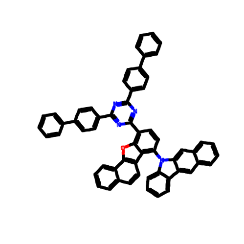 c1ccc(-c2ccc(-c3nc(-c4ccc(-c5ccccc5)cc4)nc(-c4ccc(-n5c6ccccc6c6cc7ccccc7cc65)c5c4oc4c6ccccc6ccc45)n3)cc2)cc1